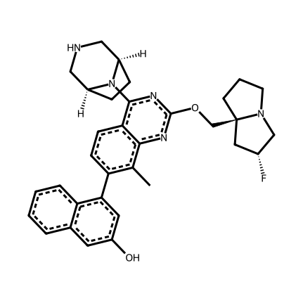 Cc1c(-c2cc(O)cc3ccccc23)ccc2c(N3[C@@H]4CC[C@H]3CNC4)nc(OC[C@@]34CCCN3C[C@H](F)C4)nc12